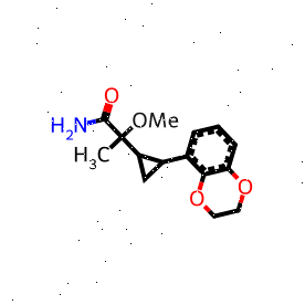 COC(C)(C(N)=O)C1CC1c1cccc2c1OCCO2